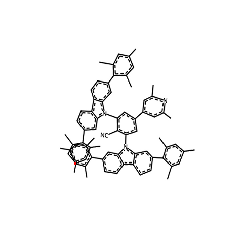 Cc1cc(C)c(-c2ccc3c4ccc(-c5c(C)cc(C)cc5C)cc4n(-c4cc(-c5cc(C)nc(C)c5)cc(-n5c6cc(-c7c(C)cc(C)cc7C)ccc6c6ccc(-c7c(C)cc(C)cc7C)cc65)c4C#N)c3c2)c(C)c1